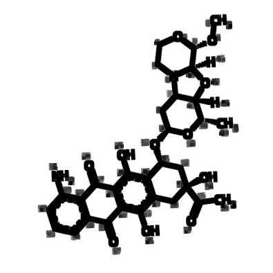 CO[C@H]1OCCN2C3C[C@H](O[C@H]4C[C@](O)(C(C)=O)Cc5c(O)c6c(c(O)c54)C(=O)c4c(N)cccc4C6=O)O[C@@H](C)[C@H]3O[C@H]12